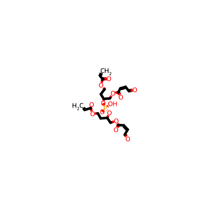 C=CC(=O)OCCC(COC(=O)/C=C\C=O)OP(=O)(O)OC(CCOC(=O)C=C)COC(=O)/C=C\C=O